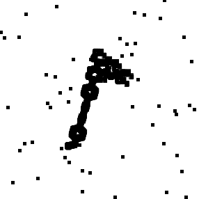 CONC(=O)[C@@H](NC(=O)c1ccc(C#CC#Cc2ccc(C=O)cc2)cc1)[C@@H](C)OC(C)(C)C